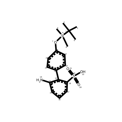 CC(C)(C)[Si](C)(C)Oc1ccc(-c2c(N)cccc2S(=O)(=O)O)cc1